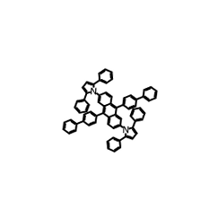 c1ccc(-c2ccc(-c3c4ccc(-n5c(-c6ccccc6)ccc5-c5ccccc5)cc4c(-c4ccc(-c5ccccc5)cc4)c4ccc(-n5c(-c6ccccc6)ccc5-c5ccccc5)cc34)cc2)cc1